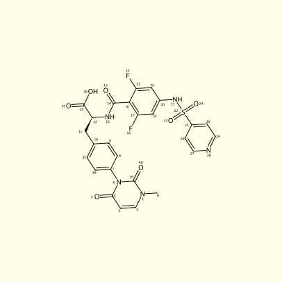 Cn1ccc(=O)n(-c2ccc(C[C@H](NC(=O)c3c(F)cc(NS(=O)(=O)c4ccncc4)cc3F)C(=O)O)cc2)c1=O